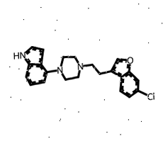 Clc1ccc2c(CCN3CCN(c4cccc5[nH]ccc45)CC3)coc2c1